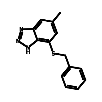 Cc1cc(SCc2ccccc2)c2[nH]nnc2c1